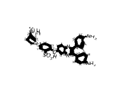 Nc1ccc(-c2nc3ccc(Oc4ccc([SH]5C=CC(S(=O)(=O)O)=C5)cc4S(=O)(=O)O)cc3nc2-c2ccc(N)cc2)cc1